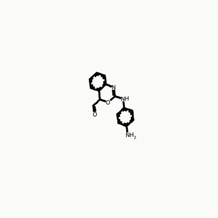 Nc1ccc(NC2=Nc3ccccc3C(C=O)O2)cc1